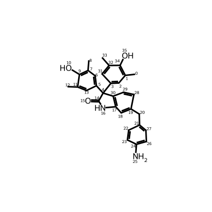 Cc1cc(C2(c3cc(C)c(O)c(C)c3)C(=O)Nc3cc(Cc4ccc(N)cc4)ccc32)cc(C)c1O